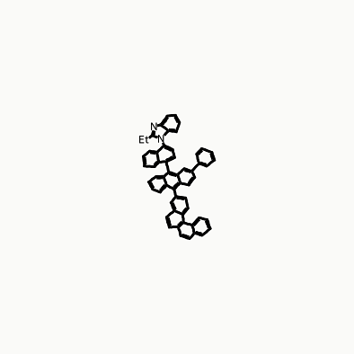 CCc1nc2ccccc2n1-c1ccc(-c2c3ccccc3c(-c3ccc4c(ccc5ccc6ccccc6c54)c3)c3ccc(-c4ccccc4)cc23)c2ccccc12